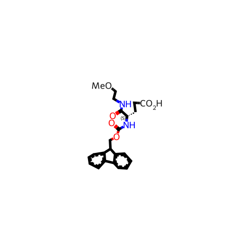 COCCNC(=O)[C@H](CCC(=O)O)NC(=O)OCC1c2ccccc2-c2ccccc21